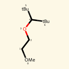 COCCOC(C(C)(C)C)C(C)(C)C